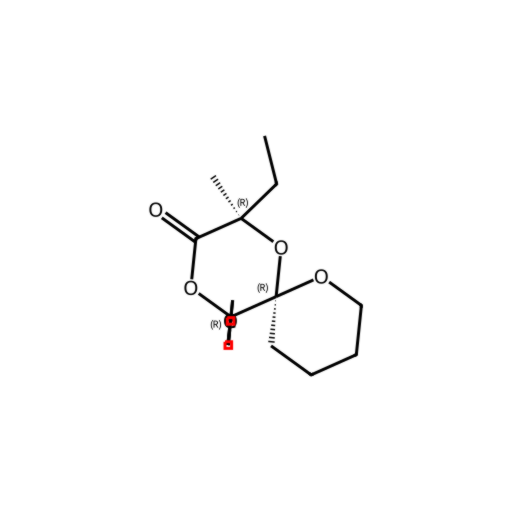 CC[C@@]1(C)O[C@]2(CCCCO2)[C@@]2(CCCCO2)OC1=O